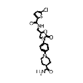 NC(=O)C1CCN(c2ccc(N3CC(CNC(=O)c4ccc(Cl)s4)OC3=O)cc2)CC1